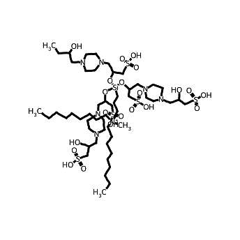 CCCCCCCCC[N+](C)(CCCCCCCCC)CCC[Si](OC(CN1CCN(CC(O)CC)CC1)CS(=O)(=O)O)(OC(CN1CCN(CC(O)CS(=O)(=O)O)CC1)CS(=O)(=O)O)OC(CN1CCN(CC(O)CS(=O)(=O)O)CC1)CS(=O)(=O)O